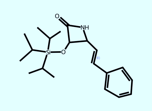 CC(C)[Si](OC1C(=O)NC1/C=C/c1ccccc1)(C(C)C)C(C)C